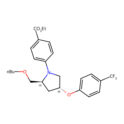 CCCCOC[C@@H]1C[C@@H](Oc2ccc(C(F)(F)F)cc2)CN1c1ccc(C(=O)OCC)cc1